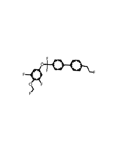 FCCc1ccc(-c2ccc(C(F)(F)Oc3cc(F)c(OCF)c(F)c3)cc2)cc1